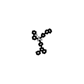 c1ccc(-c2cc(-c3ccc(-c4nc(-c5ccc(-c6ccc7ccccc7c6)cc5)nc(-c5cccc6c5sc5ccccc56)n4)cc3)cc3ccccc23)cc1